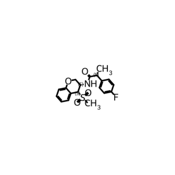 C[C@H](C(=O)N[C@H]1COc2ccccc2[C@@H]1S(C)(=O)=O)c1ccc(F)cc1